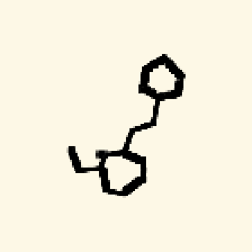 O=CC1=CC=CC=C(CCc2ccccn2)N1